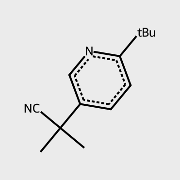 CC(C)(C)c1ccc(C(C)(C)C#N)cn1